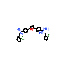 N=C(NCc1ccccc1Cl)c1ccc(-c2ccc(-c3ccc(C(=N)NCc4ccccc4Cl)cc3)o2)cc1